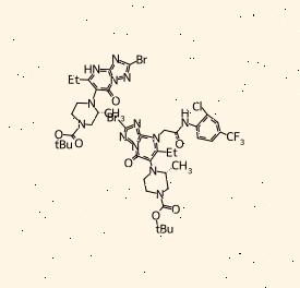 CCc1[nH]c2nc(Br)nn2c(=O)c1N1CCN(C(=O)OC(C)(C)C)C[C@H]1C.CCc1c(N2CCN(C(=O)OC(C)(C)C)C[C@H]2C)c(=O)n2nc(Br)nc2n1CC(=O)Nc1ccc(C(F)(F)F)cc1Cl